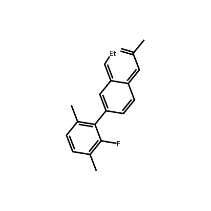 C=C(C)/C=c1/ccc(-c2c(C)ccc(C)c2F)c/c1=C/CC